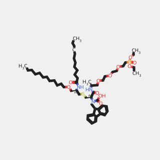 CCCCCCCCCCCCOC[C@H](CSC[C@@H](C(=O)N[C@@H](C)COCCOCCOCCP(=O)(OCC)OCC)N(CC1c2ccccc2-c2ccccc21)C(=O)O)NC(=O)CCCCCCCCCCC